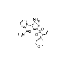 C=CC(N1CCOCC1)S(=O)(=O)c1cc(-c2ccccc2C(N)=O)c(N)s1